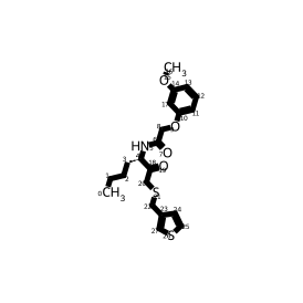 CCCC[C@H](NC(=O)COc1cccc(OC)c1)C(=O)CSCc1ccsc1